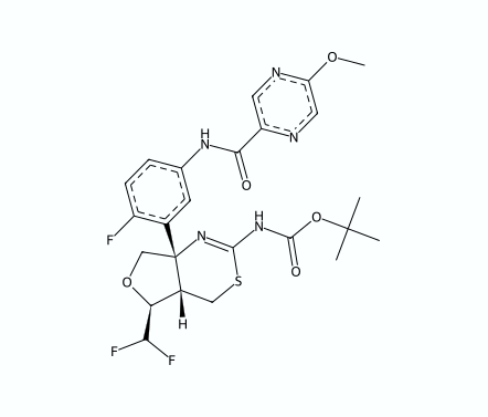 COc1cnc(C(=O)Nc2ccc(F)c([C@]34CO[C@H](C(F)F)[C@H]3CSC(NC(=O)OC(C)(C)C)=N4)c2)cn1